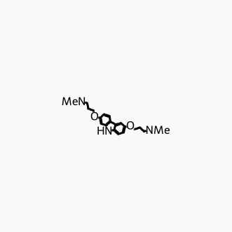 CNCCCOc1ccc2c(c1)[nH]c1ccc(OCCCNC)cc12